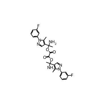 Cc1c(C(C)(N)OC(=O)C(=O)OC(C)(N)c2cnn(-c3cccc(F)c3)c2C)cnn1-c1cccc(F)c1